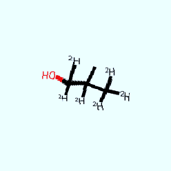 [2H]C([2H])([2H])C([2H])(C)C([2H])([2H])O